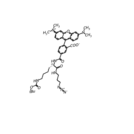 CN(C)c1ccc2c(-c3ccc(C(=O)N[C@@H](CCCCNC(=O)OC(C)(C)C)C(=O)NCCCN=[N+]=[N-])cc3C(=O)[O-])c3ccc(=[N+](C)C)cc-3oc2c1